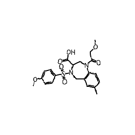 COCC(=O)N1CC(C(=O)O)N(S(=O)(=O)c2ccc(OC)cc2)Cc2cc(C)ccc21